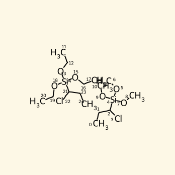 CCC(Cl)[Si](OC)(OC)OC.CCO[Si](OCC)(OCC)C(Cl)CC